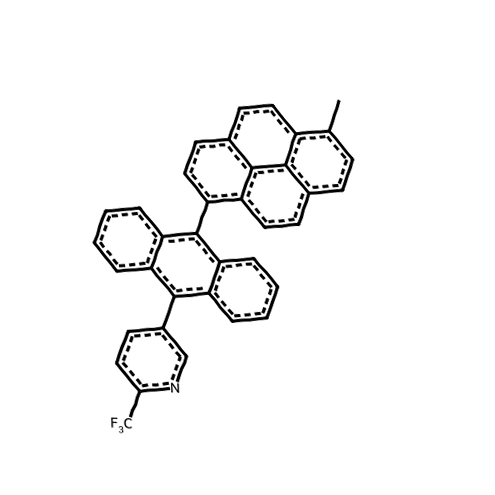 Cc1ccc2ccc3c(-c4c5ccccc5c(-c5ccc(C(F)(F)F)nc5)c5ccccc45)ccc4ccc1c2c43